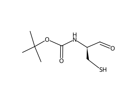 CC(C)(C)OC(=O)N[C@@H](C=O)CS